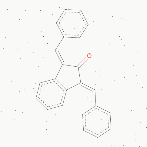 O=C1/C(=C\c2ccccc2)c2ccccc2/C1=C\c1ccccc1